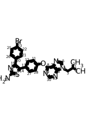 CC(C)Cn1cnc2c(Oc3ccc(-c4sc(N)nc4-c4ccc(Br)cc4)cc3)ncnc21